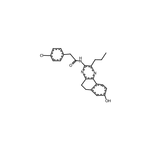 CCCc1nc2c(nc1NC(=O)Cc1ccc(Cl)cc1)CCc1cc(O)ccc1-2